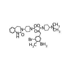 Bc1cc(C[C@@H](OC(=O)N2CCC(N3CCc4ccccc4NC3=O)CC2)C(=O)N2CCC(N(C)C)CC2)cc(Br)c1C